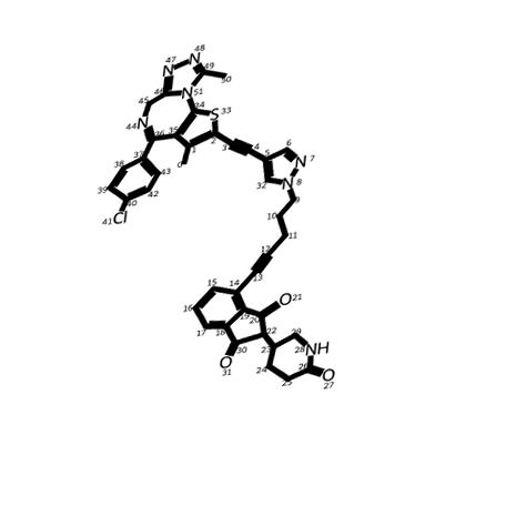 Cc1c(C#Cc2cnn(CCCC#Cc3cccc4c3C(=O)C(C3CCC(=O)NC3)C4=O)c2)sc2c1C(c1ccc(Cl)cc1)=NCc1nnc(C)n1-2